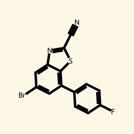 N#Cc1nc2cc(Br)cc(-c3ccc(F)cc3)c2s1